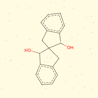 OC1c2ccccc2CC12Cc1ccccc1C2O